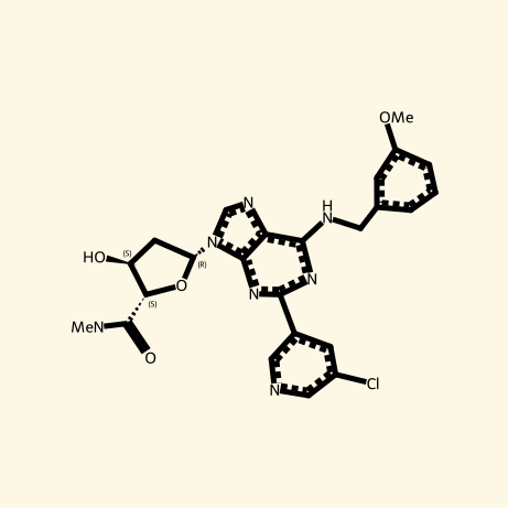 CNC(=O)[C@H]1O[C@@H](n2cnc3c(NCc4cccc(OC)c4)nc(-c4cncc(Cl)c4)nc32)C[C@@H]1O